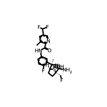 Cc1cc(C(F)F)cnc1C(=O)Nc1ccc(F)c([C@@]2(C)N=C(N)[C@@]3(CF)CC[C@@H]2S3(O)O)c1